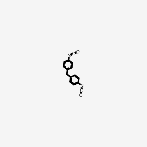 O=C=NC1=C=C=C(Cc2ccc(N=C=O)cc2)C=C1